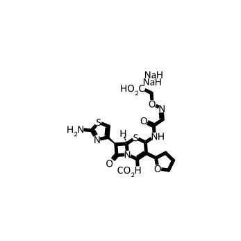 Nc1nc([C@@H]2C(=O)N3C(C(=O)O)=C(C4CCCO4)C(NC(=O)/C=N\OCC(=O)O)S[C@H]23)cs1.[NaH].[NaH]